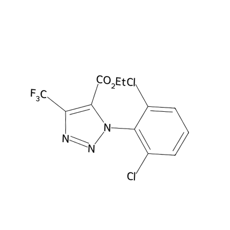 CCOC(=O)c1c(C(F)(F)F)nnn1-c1c(Cl)cccc1Cl